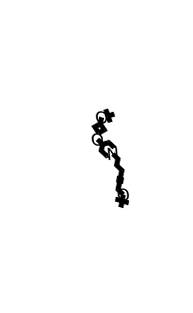 CC(C)(C)OCC#CCCCN1CCC(OC2CC(OC(C)(C)C)C2)CC1